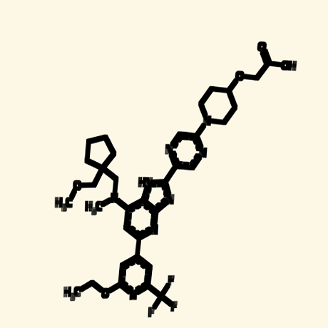 CCOc1cc(-c2cc(N(C)CC3(COC)CCCC3)c3[nH]c(-c4cnc(N5CCC(OCC(=O)O)CC5)cn4)nc3n2)cc(C(F)(F)F)n1